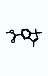 COC(=O)c1ccc2c(c1)C(C)=CC2(C)C